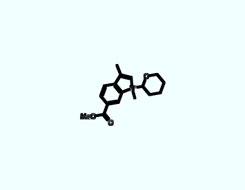 COC(=O)c1ccc2c(c1)[N+](C)(C1CCCCO1)C=C2C